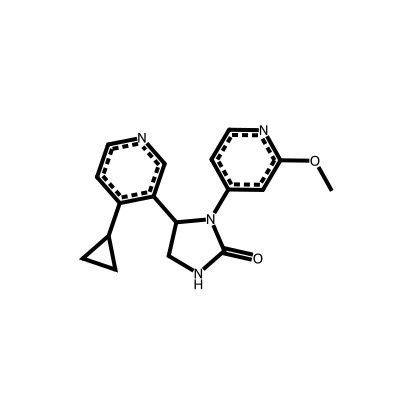 COc1cc(N2C(=O)NCC2c2cnccc2C2CC2)ccn1